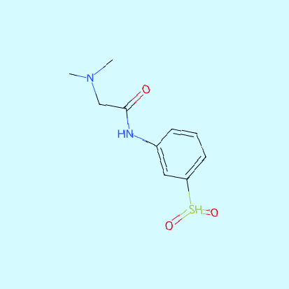 CN(C)CC(=O)Nc1cccc([SH](=O)=O)c1